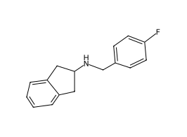 Fc1ccc(CNC2Cc3ccccc3C2)cc1